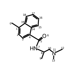 Cc1ccc(C(=O)NC(C)CN(C)C)c2ccccc12